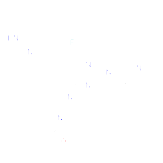 C=CC(=O)N1CCN(c2nc(N3CCCN(C)CCC3)nc3c(F)c(-c4c(C)ccc5[nH]cnc45)c(Cl)cc23)CC1